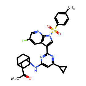 COC(=O)C1C2CCC(CC2)C1Nc1cc(C2CC2)nc(-c2cn(S(=O)(=O)c3ccc(C)cc3)c3ncc(F)cc23)n1